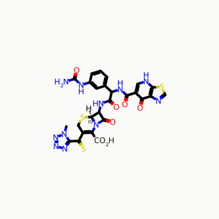 Cn1nnnc1C(=S)C1=C(C(=O)O)N2C(=O)C(NC(=O)C(NC(=O)c3c[nH]c4scnc4c3=O)c3cccc(NC(N)=O)c3)[C@@H]2SC1